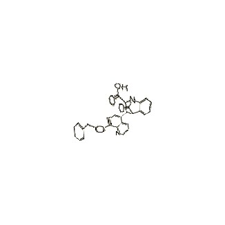 O=C(O)C1C(c2ccc(OCc3ccccc3)c3ncccc23)C2C(=O)N1c1ccccc12